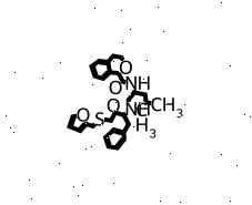 CC(C)CC(CNC(Cc1ccccc1)C(=O)CSCc1ccco1)NC(=O)C1OCCc2ccccc21